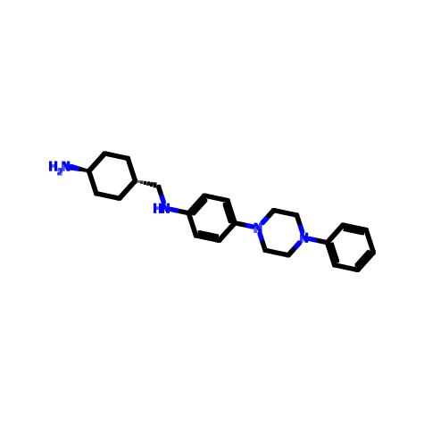 N[C@H]1CC[C@H](CNc2ccc(N3CCN(c4ccccc4)CC3)cc2)CC1